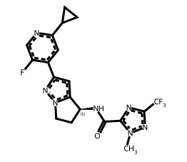 Cn1nc(C(F)(F)F)nc1C(=O)N[C@H]1CCn2nc(-c3cc(C4CC4)ncc3F)cc21